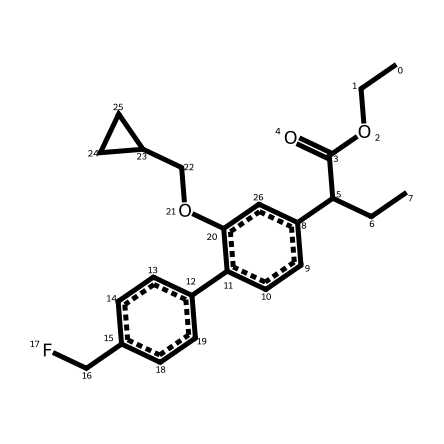 CCOC(=O)C(CC)c1ccc(-c2ccc(CF)cc2)c(OCC2CC2)c1